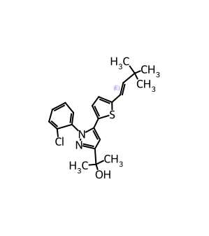 CC(C)(C)/C=C/c1ccc(-c2cc(C(C)(C)O)nn2-c2ccccc2Cl)s1